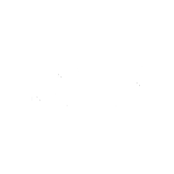 CNC(=O)N(C)SCc1cccnc1SC